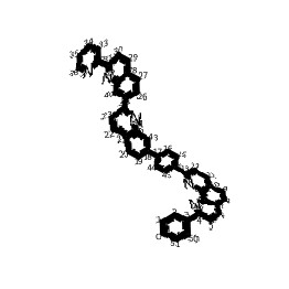 c1ccc(-c2ccc3ccc4ccc(-c5ccc(-c6ccc7ccc(-c8ccc9ccc(-c%10ccccn%10)nc9c8)nc7c6)cc5)nc4c3n2)cc1